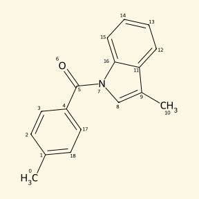 Cc1ccc(C(=O)n2cc(C)c3ccccc32)cc1